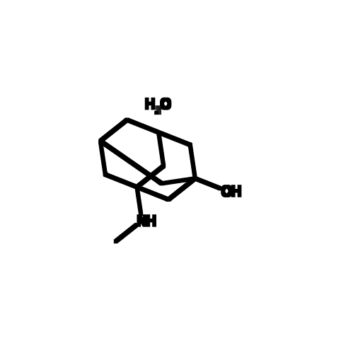 CNC12CC3CC(CC(O)(C3)C1)C2.O